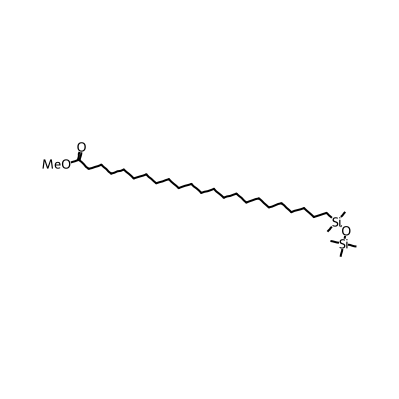 COC(=O)CCCCCCCCCCCCCCCCCCCCCC[Si](C)(C)O[Si](C)(C)C